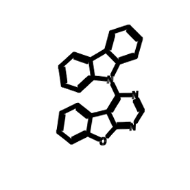 c1ccc2c(c1)oc1ncnc(-n3c4ccccc4c4ccccc43)c12